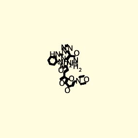 NC(=O)c1c(Nc2cc(-c3coc4c(=O)cc(N5CCOCC5)oc34)on2)nc(N[C@H]2CCCC[C@H]2N)n2ncnc12